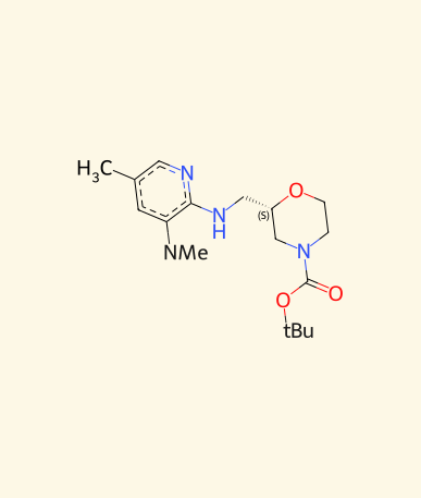 CNc1cc(C)cnc1NC[C@H]1CN(C(=O)OC(C)(C)C)CCO1